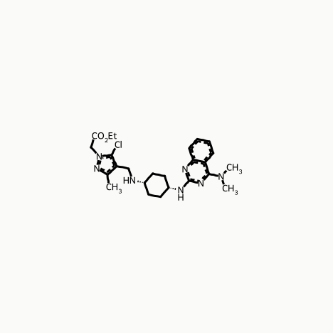 CCOC(=O)Cn1nc(C)c(CN[C@H]2CC[C@@H](Nc3nc(N(C)C)c4ccccc4n3)CC2)c1Cl